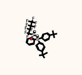 CC(C)(C)c1ccc(S(OS(=O)(=O)C(F)(F)C(F)(F)C(F)(F)C(F)(F)F)(c2ccccc2)c2ccc(C(C)(C)C)cc2)cc1